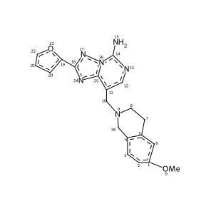 COc1ccc2c(c1)CCN(Cc1cnc(N)n3nc(-c4ccco4)nc13)C2